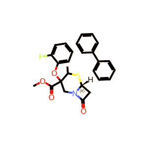 COC(=O)C1(Oc2ccccc2F)CN2C(=O)C[C@H]2SC1C.c1ccc(-c2ccccc2)cc1